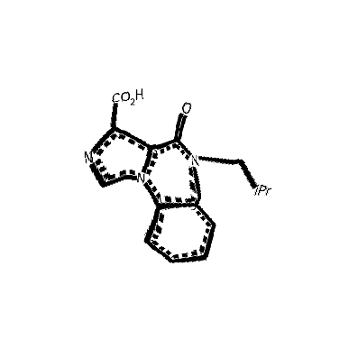 CC(C)Cn1c(=O)c2c(C(=O)O)ncn2c2ccccc21